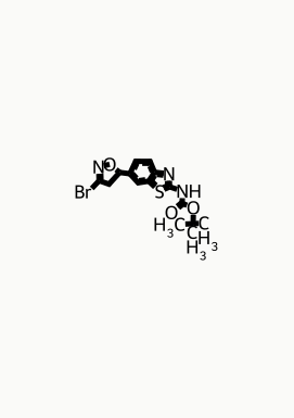 CC(C)(C)OC(=O)Nc1nc2ccc(C3CC(Br)=NO3)cc2s1